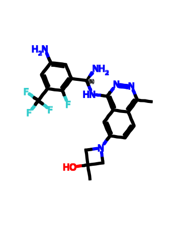 Cc1nnc(N[C@H](N)c2cc(N)cc(C(F)(F)F)c2F)c2cc(N3CC(C)(O)C3)ccc12